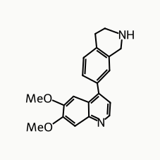 COc1cc2nccc(-c3ccc4c(c3)CNCC4)c2cc1OC